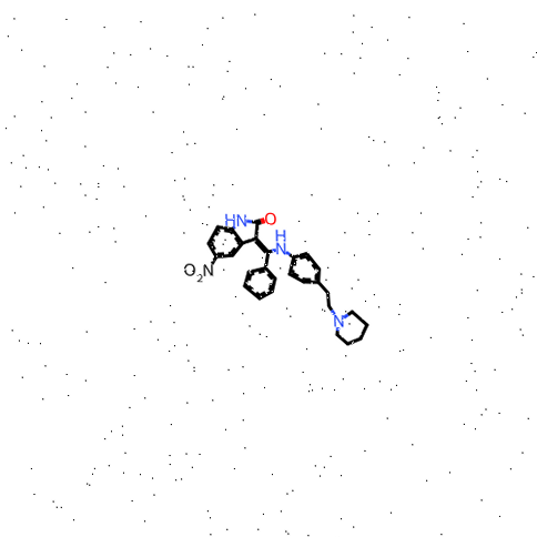 O=C1Nc2ccc([N+](=O)[O-])cc2C1=C(Nc1ccc(CCN2CCCCC2)cc1)c1ccccc1